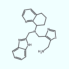 NCc1scnc1CN(Cc1nc2ccccc2[nH]1)C1CCCc2cccnc21